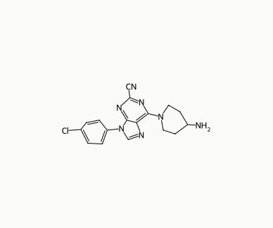 N#Cc1nc(N2CCC(N)CC2)c2ncn(-c3ccc(Cl)cc3)c2n1